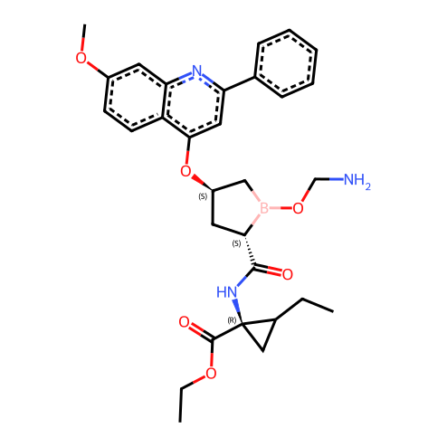 CCOC(=O)[C@@]1(NC(=O)[C@@H]2C[C@@H](Oc3cc(-c4ccccc4)nc4cc(OC)ccc34)CB2OCN)CC1CC